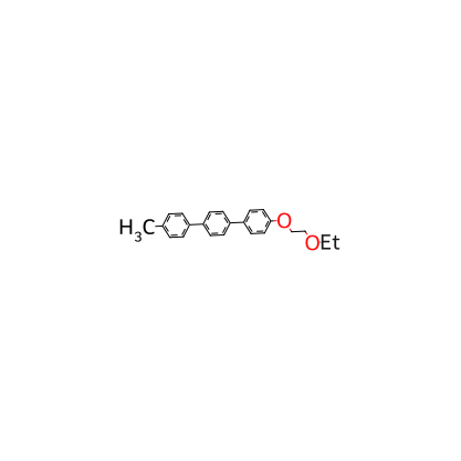 CCOCCOc1ccc(-c2ccc(-c3ccc(C)cc3)cc2)cc1